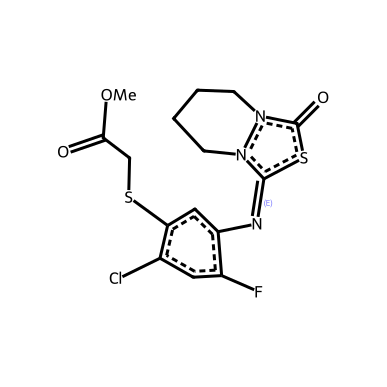 COC(=O)CSc1cc(/N=c2/sc(=O)n3n2CCCC3)c(F)cc1Cl